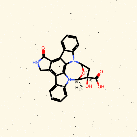 C[C@]12OC(C[C@]1(O)C(=O)O)n1c3ccccc3c3c4c(c5c6ccccc6n2c5c31)CNC4=O